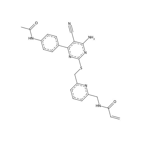 C=CC(=O)NCc1cccc(CSc2nc(N)c(C#N)c(-c3ccc(NC(C)=O)cc3)n2)n1